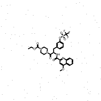 CCOC(=O)N1CCN(C(=O)C(Cc2cccc(OS(=O)(=O)C(F)(F)F)c2)NC(=O)c2cc(OC)c3ccccc3n2)CC1